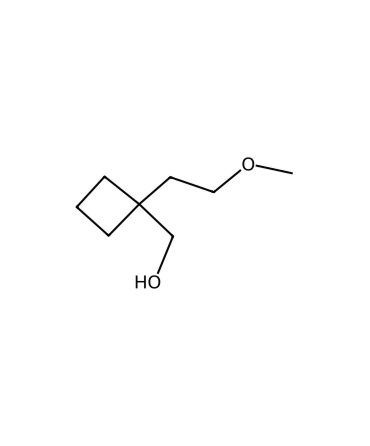 COCCC1(CO)CCC1